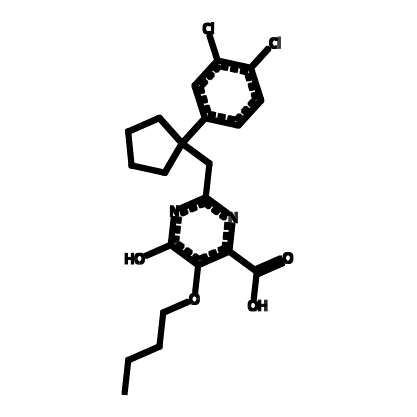 CCCCOc1c(O)nc(CC2(c3ccc(Cl)c(Cl)c3)CCCC2)nc1C(=O)O